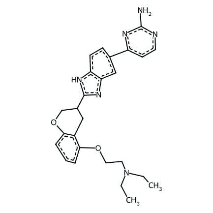 CCN(CC)CCOc1cccc2c1CC(c1nc3cc(-c4ccnc(N)n4)ccc3[nH]1)CO2